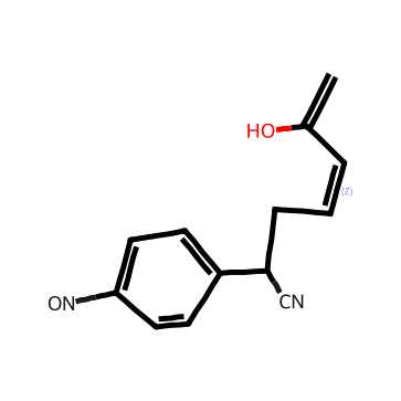 C=C(O)/C=C\CC(C#N)c1ccc(N=O)cc1